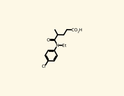 CCN(C(=O)C(C)CCC(=O)O)c1ccc(Cl)cc1